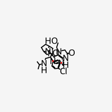 CC(C)NCC(C(=O)N1C2CCC1CN(c1ncnc3c1N(CCO)CC(=O)N3)C2)c1ccc(Cl)cc1